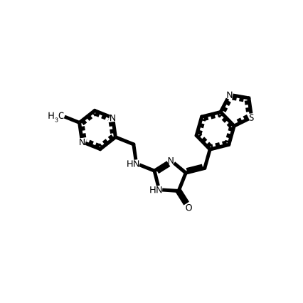 Cc1cnc(CNC2=N/C(=C\c3ccc4ncsc4c3)C(=O)N2)cn1